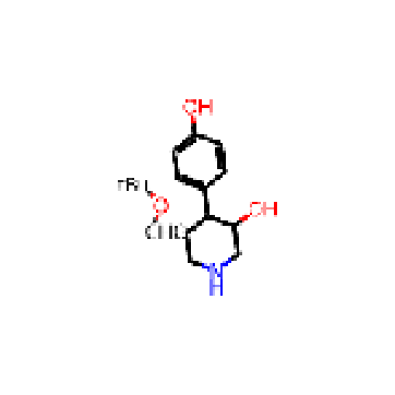 CC(C)(C)OC=O.Oc1ccc(C2CCNCC2O)cc1